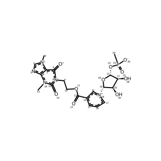 Cn1cnc2c1c(=O)n(CCOC(=O)c1ccc[n+]([C@@H]3O[C@H](OP(C)(=O)[O-])[C@@H](O)[C@H]3O)c1)c(=O)n2C